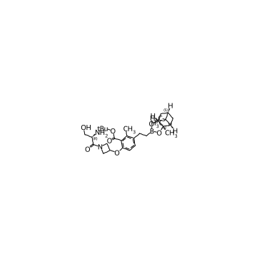 Cc1c(CCB2O[C@@H]3C[C@@H]4C[C@@H](C4(C)C)[C@]3(C)O2)ccc(OC2CN(C(=O)[C@H](N)CO)C2)c1C(=O)OC(C)(C)C